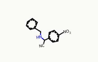 N#CC(NCc1ccccc1)c1ccc([N+](=O)[O-])cc1